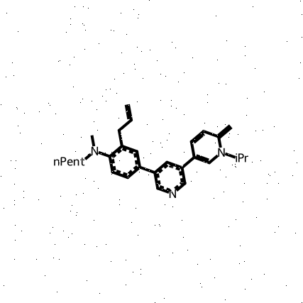 C=CCc1cc(-c2cncc(C3=CN(C(C)C)C(=C)C=C3)c2)ccc1N(C)CCCCC